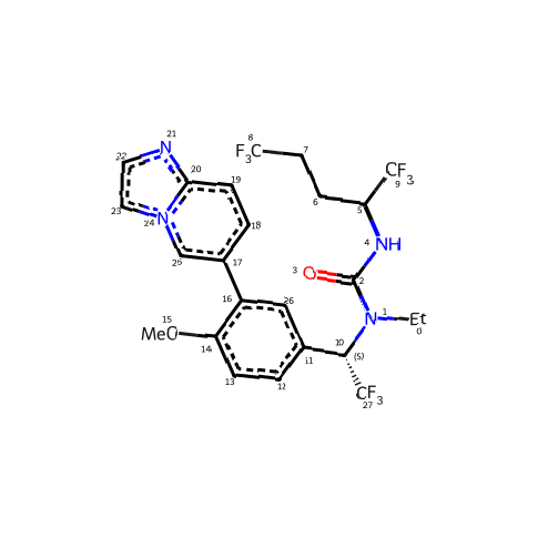 CCN(C(=O)NC(CCC(F)(F)F)C(F)(F)F)[C@@H](c1ccc(OC)c(-c2ccc3nccn3c2)c1)C(F)(F)F